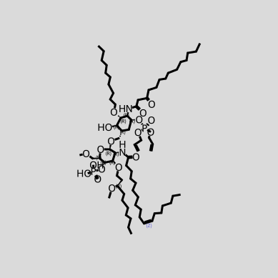 C=CCOP(=O)(OCC=C)O[C@@H]1C[C@H](CO[C@@H]2O[C@H](COC)[C@@H](OP(=O)(O)O)[C@H](OCC[C@@H](CCCCCCC)OC)[C@H]2NC(=O)CCCCCCCCC/C=C\CCCCCC)[C@@H](O)[C@H](OCCCCCCCCCC)[C@H]1NC(=O)CC(=O)CCCCCCCCCCC